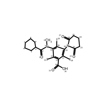 CN(C(=O)C1CCCCC1)c1c(I)c(C(=O)O)c(I)c(N2C(=O)CCCC2=O)c1I